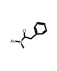 CC(=O)N(C)C(Cl)Cc1ccccc1